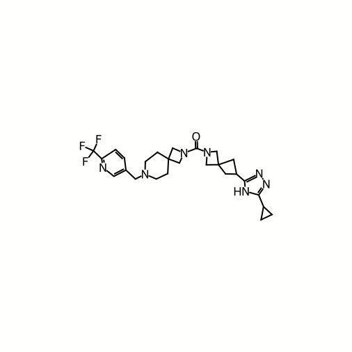 O=C(N1CC2(CCN(Cc3ccc(C(F)(F)F)nc3)CC2)C1)N1CC2(CC(c3nnc(C4CC4)[nH]3)C2)C1